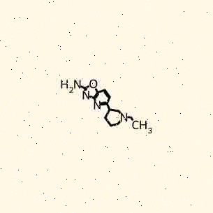 CCN1CCCC(c2ccc3oc(N)nc3n2)C1